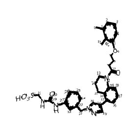 Cc1cccc(OCCCC(=O)N2CCCc3c(-c4cnn(Cc5cccc(NC(=O)NCS(=O)(=O)O)c5)c4)cccc32)c1C